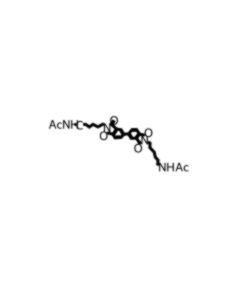 CC(=O)NCCCCCCN1C(=O)c2ccc(-c3ccc4c(c3)C(=O)N(CCCCCCNC(C)=O)C4=O)cc2C1=O